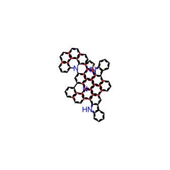 c1ccc(-c2ccccc2N(c2ccccc2-c2ccccc2)c2cc(-c3ccccc3)c(N(c3ccccc3-c3ccccc3)c3ccccc3-c3c(-c4ccccc4)c(-c4ccccc4)cc4c3[nH]c3ccccc34)c(-c3c(-c4ccccc4)ccc4c3[nH]c3ccccc34)c2-c2cccs2)cc1